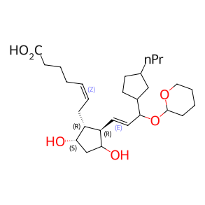 CCCC1CCC(C(/C=C/[C@H]2C(O)C[C@H](O)[C@@H]2C/C=C\CCCC(=O)O)OC2CCCCO2)C1